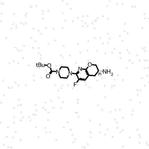 CC(C)(C)OC(=O)N1CCN(c2nc3c(cc2F)C[C@@H](N)CO3)CC1